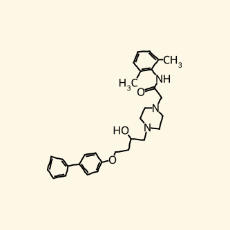 Cc1cccc(C)c1NC(=O)CN1CCN(CC(O)CCOc2ccc(-c3ccccc3)cc2)CC1